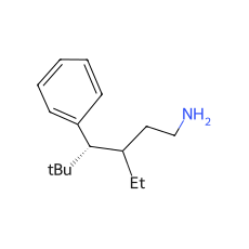 CCC(CCN)[C@@H](c1ccccc1)C(C)(C)C